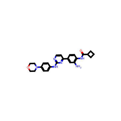 Nc1cc(-c2ccnc(Nc3ccc(N4CCOCC4)cc3)n2)ccc1NC(=O)C1CCC1